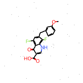 COc1cccc(Cc2cc(F)c3c(=O)c(C(=O)O)c[nH]c3c2F)c1